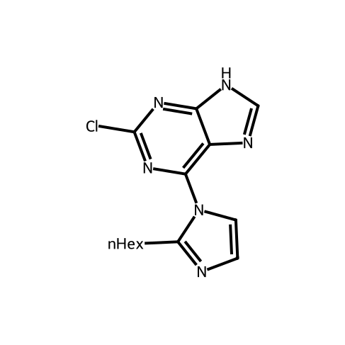 CCCCCCc1nccn1-c1nc(Cl)nc2[nH]cnc12